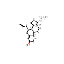 C=CC[C@@H]1CC2=CC(=O)CC[C@]2(C)C2CC[C@@]3(C)C(CC[C@@H]3CC(=O)O)C21